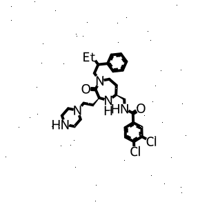 CCC(CN1CC[C@@H](CNC(=O)c2ccc(Cl)c(Cl)c2)N[C@@H](CCN2CCNCC2)C1=O)c1ccccc1